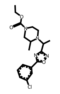 CCOC(=O)N1CCN(C(C)c2noc(-c3cccc(Cl)c3)n2)C(C)C1